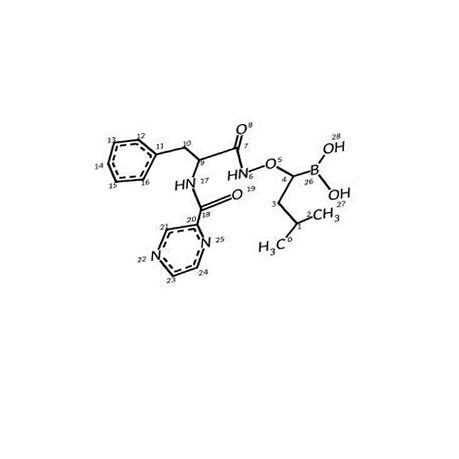 CC(C)CC(ONC(=O)C(Cc1ccccc1)NC(=O)c1cnccn1)B(O)O